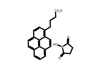 O=C(O)CCCc1ccc2ccc3cccc4ccc1c2c34.O=C1CCC(=O)N1O